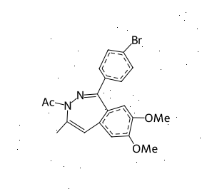 COc1cc2c(cc1OC)C(c1ccc(Br)cc1)=NN(C(C)=O)C(C)=C2